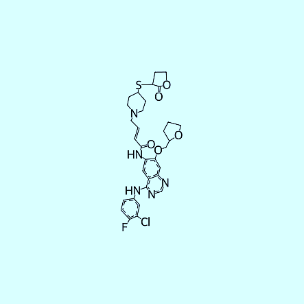 O=C(/C=C/CN1CCC(SC2CCOC2=O)CC1)Nc1cc2c(Nc3ccc(F)c(Cl)c3)ncnc2cc1OCC1CCCO1